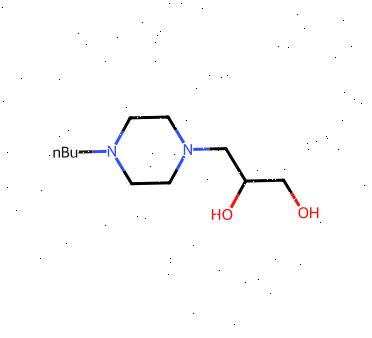 CCCCN1CCN(CC(O)CO)CC1